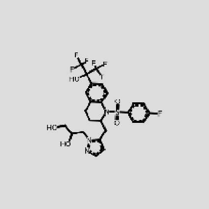 O=S(=O)(c1ccc(F)cc1)N1c2ccc(C(O)(C(F)(F)F)C(F)(F)F)cc2CCC1Cc1ccnn1CC(O)CO